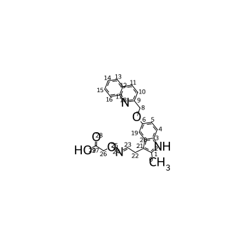 Cc1[nH]c2ccc(OCc3ccc4ccccc4n3)cc2c1CC=NOCC(=O)O